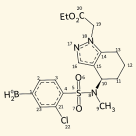 Bc1ccc(S(=O)(=O)N(C)[C@@H]2CCCc3c2cnn3CC(=O)OCC)c(Cl)c1